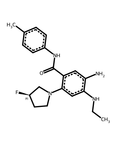 CCNc1cc(N2CC[C@@H](F)C2)c(C(=O)Nc2ccc(C)cc2)cc1N